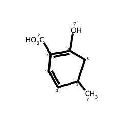 CC1C=CC(C(=O)O)=C(O)C1